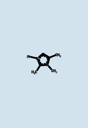 Cc1c[n+](C(C)C)c(C)n1C